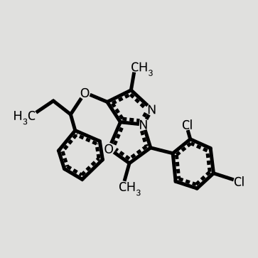 CCC(Oc1c(C)nn2c(-c3ccc(Cl)cc3Cl)c(C)oc12)c1ccccc1